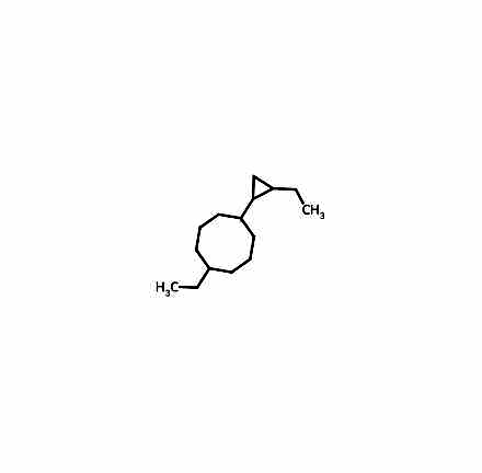 CCC1CCC[C](C2CC2CC)CCC1